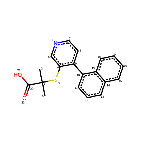 CC(C)(Sc1cnccc1-c1cccc2ccccc12)C(=O)O